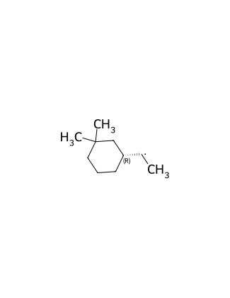 C[CH][C@@H]1CCCC(C)(C)C1